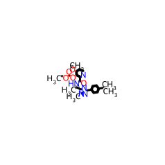 CCOC(=O)Oc1c(OC)ccnc1C(=O)N[C@@H](C)c1nc(-c2ccc(C(C)C)cc2)nn1C